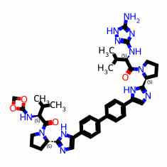 CC(C)[C@H](Nc1n[nH]c(N)n1)C(=O)N1CCC[C@H]1c1ncc(-c2ccc(-c3ccc(-c4cnc([C@@H]5CCCN5C(=O)[C@@H](NC5OCO5)C(C)C)[nH]4)cc3)cc2)[nH]1